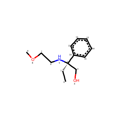 CC[C@](CO)(NCCOC)c1ccccc1